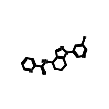 O=C(NC1CCCc2c1cnn2-c1cncc(F)c1)c1ccccn1